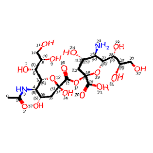 CC(=O)N[C@H]1[C@H]([C@H](O)[C@H](O)CO)O[C@](O)(C(=O)O[C@@]2(C(=O)O)C[C@H](O)[C@@H](N)[C@H]([C@H](O)[C@H](O)CO)O2)C[C@@H]1O